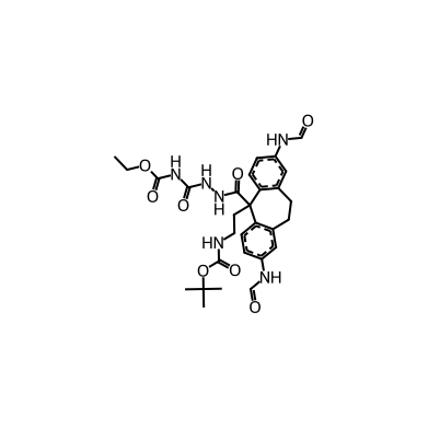 CCOC(=O)NC(=O)NNC(=O)C1(CCNC(=O)OC(C)(C)C)c2ccc(NC=O)cc2CCc2cc(NC=O)ccc21